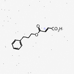 O=C(O)/C=C/C(=O)OCCCc1ccccc1